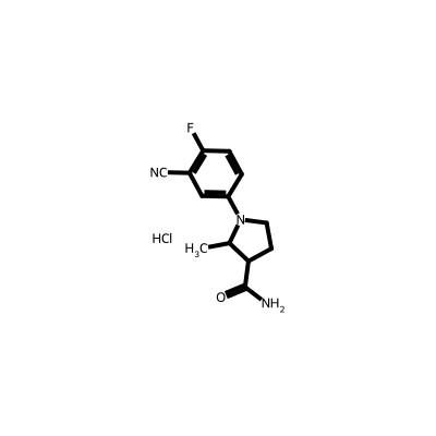 CC1C(C(N)=O)CCN1c1ccc(F)c(C#N)c1.Cl